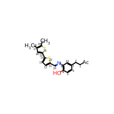 CC(=O)CCc1ccc(O)c(/N=C/c2ccc(-c3cc(C)c(C)s3)s2)c1